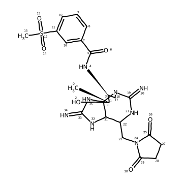 C[C@]1(O)[C@@H](NC(=O)c2cccc(S(C)(=O)=O)c2)CN2C(=N)NC(CN3C(=O)CCC3=O)C3NC(=N)NC321